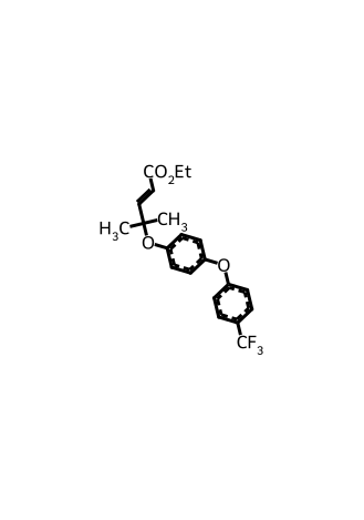 CCOC(=O)C=CC(C)(C)Oc1ccc(Oc2ccc(C(F)(F)F)cc2)cc1